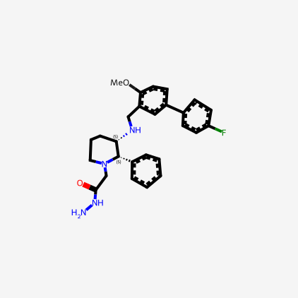 COc1ccc(-c2ccc(F)cc2)cc1CN[C@H]1CCCN(CC(=O)NN)[C@H]1c1ccccc1